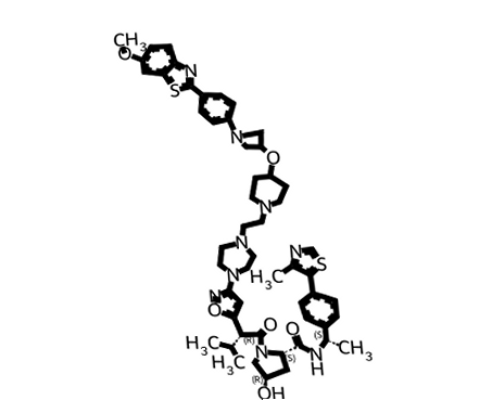 COc1ccc2nc(-c3ccc(N4CC(OC5CCN(CCN6CCN(c7cc([C@H](C(=O)N8C[C@H](O)C[C@H]8C(=O)N[C@@H](C)c8ccc(-c9scnc9C)cc8)C(C)C)on7)CC6)CC5)C4)cc3)sc2c1